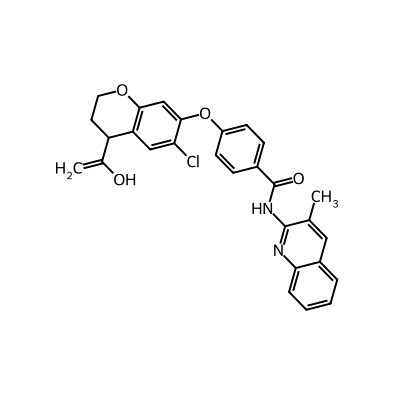 C=C(O)C1CCOc2cc(Oc3ccc(C(=O)Nc4nc5ccccc5cc4C)cc3)c(Cl)cc21